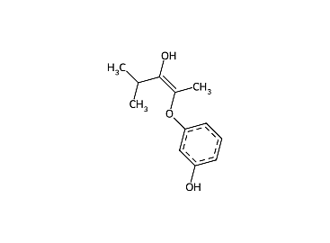 C/C(Oc1cccc(O)c1)=C(\O)C(C)C